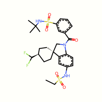 CCS(=O)(=O)Nc1ccc2c(c1)[C@]1(CC[C@H](C(F)F)CC1)CN2C(=O)c1cccc(S(=O)(=O)NC(C)(C)C)c1